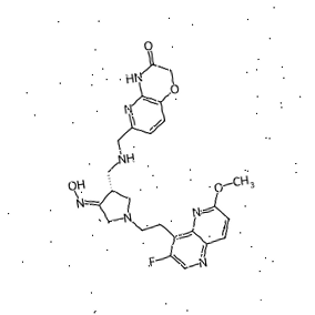 COc1ccc2ncc(F)c(CCN3CC(=NO)[C@H](CNCc4ccc5c(n4)NC(=O)CO5)C3)c2n1